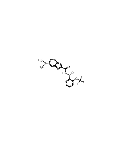 CN(C)c1ccc2cc(C(=O)N[S+]([O-])c3ccccc3OC(F)(F)F)oc2c1